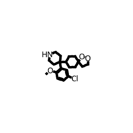 COc1ccc(Cl)cc1C1(C2CCC3(CCOO3)CC2)CCNCC1